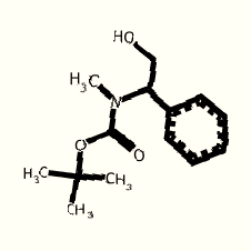 CN(C(=O)OC(C)(C)C)C(CO)c1ccccc1